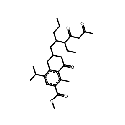 CCCC(CC1CC(=O)c2c(C)c(C(=O)OC)cc(C(C)C)c2C1)C(CC)C(=O)CC(C)=O